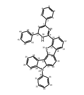 C1=C(c2ccccc2)N=C(c2cccc3c2sc2c3ccc3c2c2ccccc2n3-c2ccccc2)NC1c1ccccc1